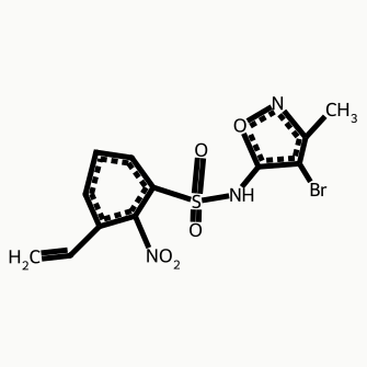 C=Cc1cccc(S(=O)(=O)Nc2onc(C)c2Br)c1[N+](=O)[O-]